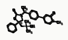 C[C@@H](c1ccc(-c2ccn(C)c(=O)c2)cc1)N1C[C@](CC(C)(C)O)(c2ccccc2)OC1=O